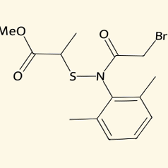 COC(=O)C(C)SN(C(=O)CBr)c1c(C)cccc1C